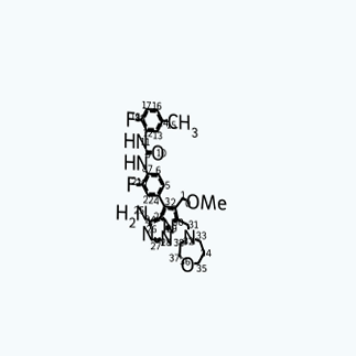 COCc1c(-c2ccc(NC(=O)Nc3cc(C)ccc3F)c(F)c2)c2c(N)ncnn2c1CN1CCCOCC1